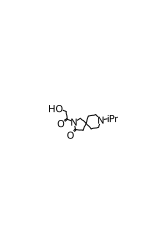 CC(C)N1CCC2(CC1)CC(=O)N(C(=O)CO)C2